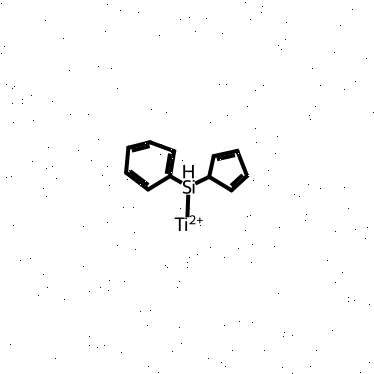 C[SiH](c1ccccc1)C1C=CC=C1.[Ti+2]